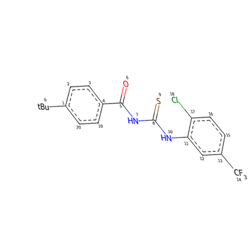 CC(C)(C)c1ccc(C(=O)NC(=S)Nc2cc(C(F)(F)F)ccc2Cl)cc1